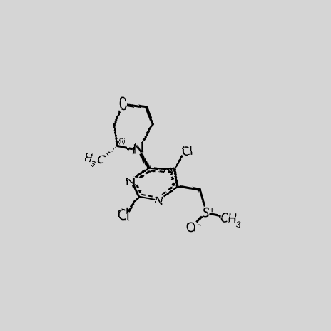 C[C@@H]1COCCN1c1nc(Cl)nc(C[S+](C)[O-])c1Cl